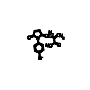 C=C(C)C(=O)O.O=C1C=CC(=O)N1c1ccc(Br)cc1